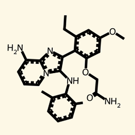 CCc1cc(OC)cc(OCC(N)=O)c1-c1nc2c(N)cccn2c1Nc1c(C)cccc1C